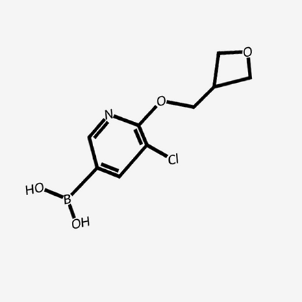 OB(O)c1cnc(OCC2COC2)c(Cl)c1